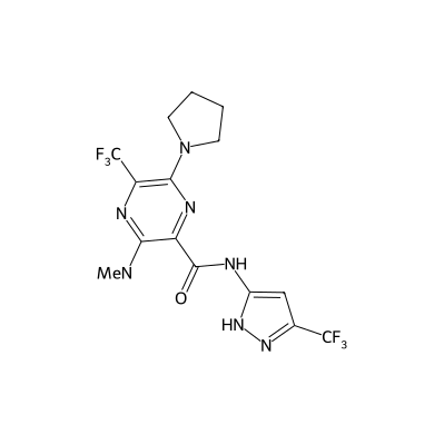 CNc1nc(C(F)(F)F)c(N2CCCC2)nc1C(=O)Nc1cc(C(F)(F)F)n[nH]1